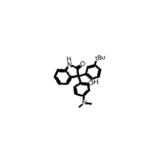 CN(C)c1ccc(C2(c3cc(C(C)(C)C)ccc3O)C(=O)Nc3ccccc32)cc1